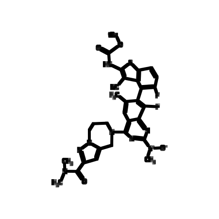 CN(C)C(=O)c1cc2n(n1)CCCN(c1nc([S+](C)[O-])nc3c(F)c(-c4c(F)ccc5sc(NC(=O)OC(C)(C)C)c(C#N)c45)c(C(F)(F)F)cc13)C2